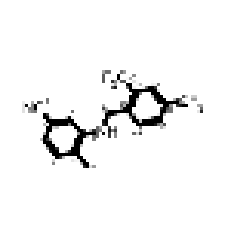 Cc1ccc(C#N)cc1NCc1ccc(C(F)(F)F)cc1C(F)(F)F